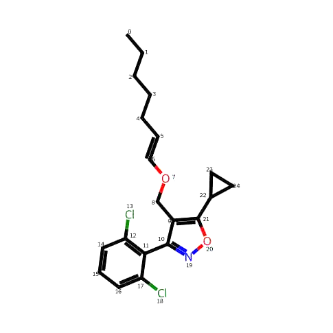 CCCCC/C=C/OCc1c(-c2c(Cl)cccc2Cl)noc1C1CC1